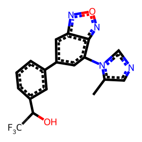 Cc1cncn1-c1cc(-c2cccc(C(O)C(F)(F)F)c2)cc2nonc12